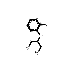 OCC(CO)Oc1ccccc1Cl